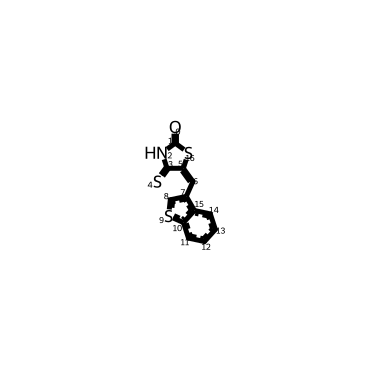 O=C1NC(=S)/C(=C\c2csc3ccccc23)S1